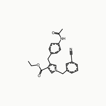 CCOC(=O)c1cn(Cc2cccc(C#N)c2)cc1Cc1ccc(NC(C)=O)cc1